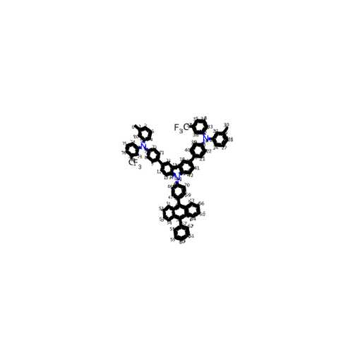 Cc1cccc(N(c2ccc(-c3ccc4c(c3)c3cc(-c5ccc(N(c6cccc(C)c6)c6cccc(C(F)(F)F)c6)cc5)ccc3n4-c3ccc(-c4c5ccccc5c(-c5ccccc5)c5ccccc45)cc3)cc2)c2cccc(C(F)(F)F)c2)c1